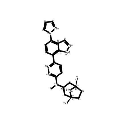 CN(c1ccc(-c2ccc(-n3cccn3)c3cn[nH]c23)nn1)C1C[C@H]2CC[C@@H](C1)N2